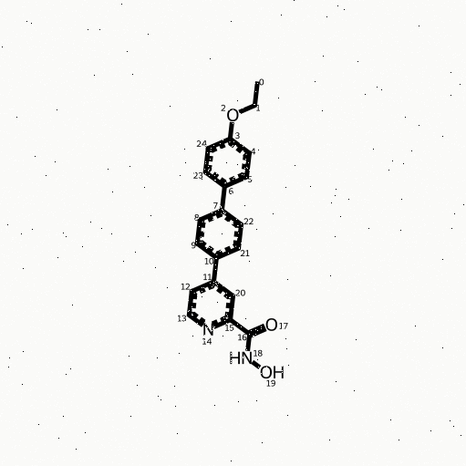 CCOc1ccc(-c2ccc(-c3ccnc(C(=O)NO)c3)cc2)cc1